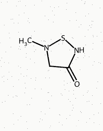 CN1CC(=O)NS1